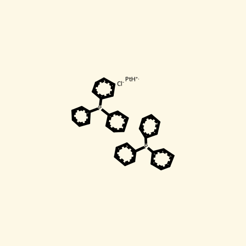 [Cl-].[PtH+].c1ccc(P(c2ccccc2)c2ccccc2)cc1.c1ccc(P(c2ccccc2)c2ccccc2)cc1